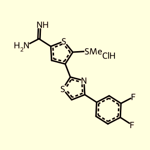 CSc1sc(C(=N)N)cc1-c1nc(-c2ccc(F)c(F)c2)cs1.Cl